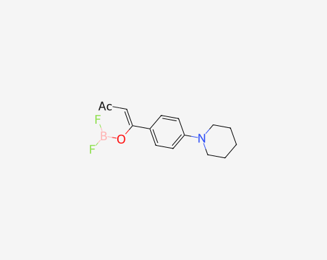 CC(=O)/C=C(\OB(F)F)c1ccc(N2CCCCC2)cc1